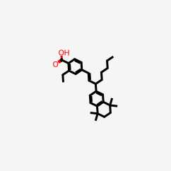 CCCCCC(C=Cc1ccc(C(=O)O)c(CC)c1)c1ccc2c(c1)C(C)(C)CCC2(C)C